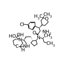 CC[C@H](C)N(C(=O)[C@@H](N)[C@@H](c1ccc(Cl)cc1)C1CCOC(C)(C)C1)[C@H]1CCC[C@@H]1CC[C@H]1CN[C@@H]2CCCS(O)(O)N1C2